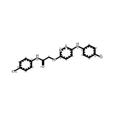 O=C(CSc1ccc(Nc2ccc(Cl)cc2)nn1)Nc1ccc(Cl)cc1